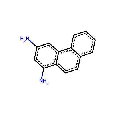 Nc1cc(N)c2ccc3ccccc3c2c1